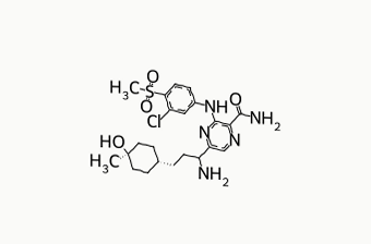 CS(=O)(=O)c1ccc(Nc2nc(C(N)CC[C@H]3CC[C@](C)(O)CC3)cnc2C(N)=O)cc1Cl